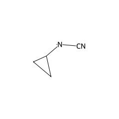 N#C[N]C1CC1